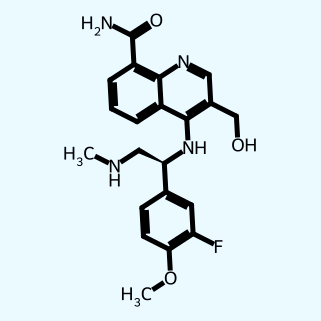 CNC[C@@H](Nc1c(CO)cnc2c(C(N)=O)cccc12)c1ccc(OC)c(F)c1